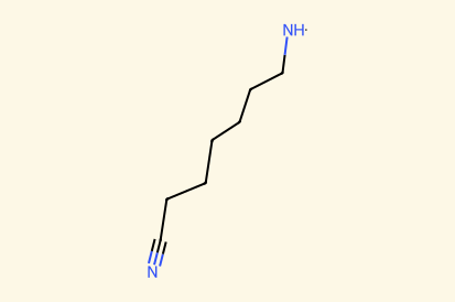 N#CCCCCCC[NH]